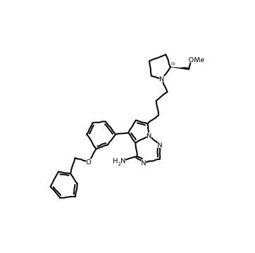 COC[C@@H]1CCCN1CCCc1cc(-c2cccc(OCc3ccccc3)c2)c2c(N)ncnn12